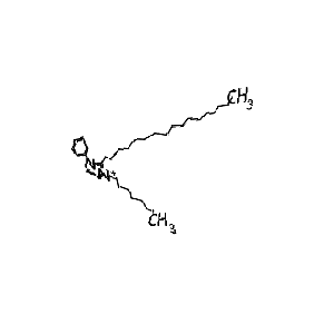 CCCCCCCCCCCCCCCCCc1n(-c2ccccc2)cc[n+]1CCCCCCCC